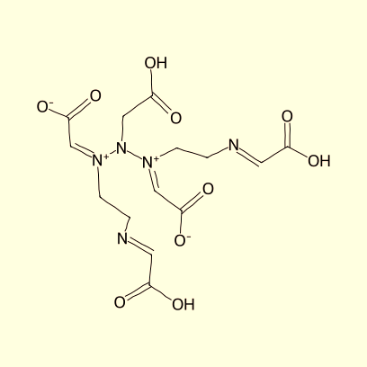 O=C([O-])C=[N+](CCN=CC(=O)O)N(CC(=O)O)[N+](=CC(=O)[O-])CCN=CC(=O)O